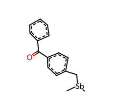 [CH3][Sb]([CH3])[CH2]c1ccc(C(=O)c2ccccc2)cc1